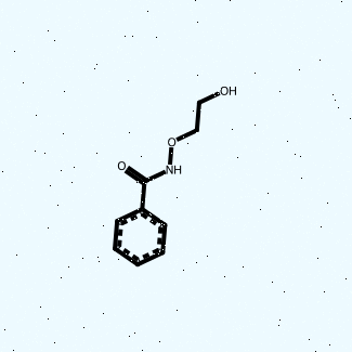 O=C(NOCCO)c1ccccc1